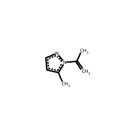 C=C(C)n1nccc1C